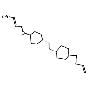 C=CCC[C@H]1CC[C@H](CC[C@H]2CC[C@H](OC/C=C/CCC)CC2)CC1